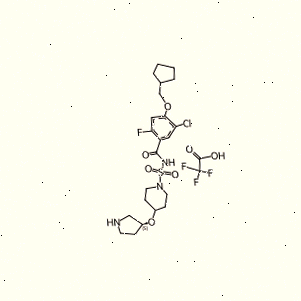 O=C(NS(=O)(=O)N1CCC(O[C@H]2CCNC2)CC1)c1cc(Cl)c(OCC2CCCC2)cc1F.O=C(O)C(F)(F)F